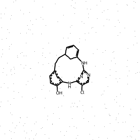 Oc1ccc2cc1Nc1nc(ncc1Cl)NC1=CC=CC(CC2)C1